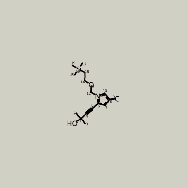 CC(C)(O)C#Cc1cc(Cl)cn1COCC[Si](C)(C)C